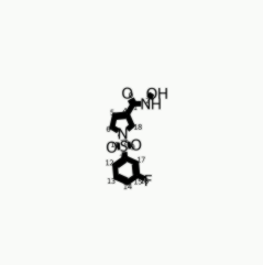 O=C(NO)C1=CCN(S(=O)(=O)c2cccc(F)c2)C1